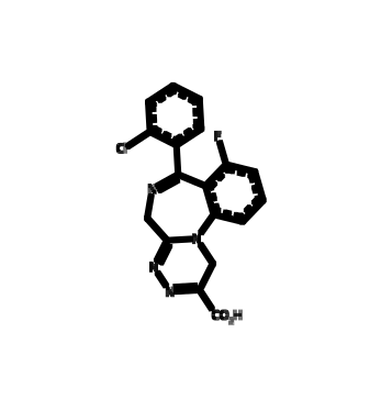 O=C(O)C1=NN=C2CN=C(c3ccccc3Cl)c3c(F)cccc3N2C1